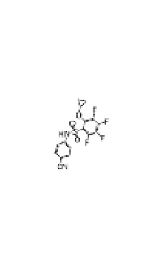 N#Cc1ccc(NS(=O)(=O)c2c(F)c(F)c(F)c(F)c2OC2CC2)cc1